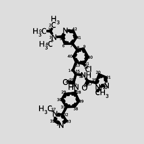 CC(C)N(C)c1cc(-c2ccc(Cl)c(CC(NC(=O)c3ccnn3C)C(=O)Nc3ccc(-c4cncn4C)cc3)c2)ccn1